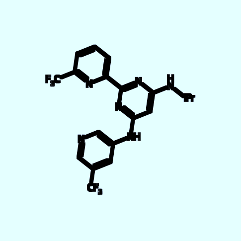 CC(C)Nc1cc(Nc2cncc(C(F)(F)F)c2)nc(-c2cccc(C(F)(F)F)n2)n1